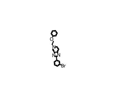 Brc1cccc(-c2nc3ccn(CCOc4ccccc4)cc-3n2)c1